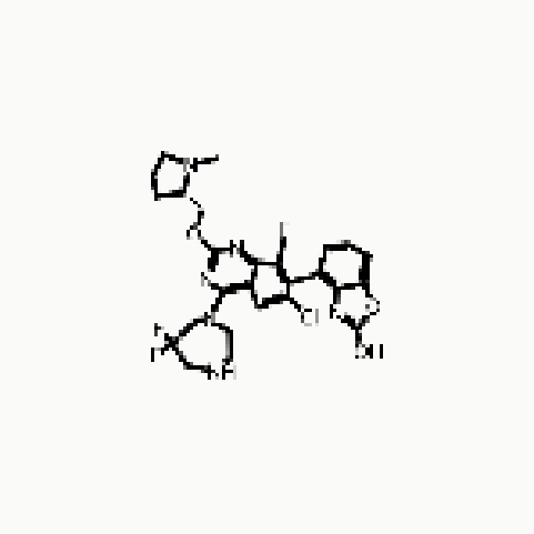 CN1CCC[C@H]1COc1nc(N2CCNCC(F)(F)C2)c2cc(Cl)c(-c3cccc4oc(O)nc34)c(F)c2n1